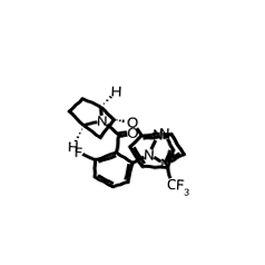 O=C(c1c(F)cccc1-n1nccn1)N1[C@@H]2CC[C@H]1[C@H](Oc1ccc(C(F)(F)F)cn1)C2